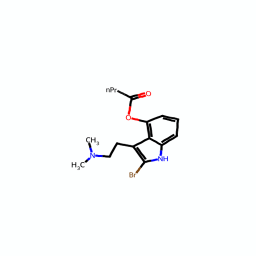 CCCC(=O)Oc1cccc2[nH]c(Br)c(CCN(C)C)c12